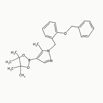 Cc1c(B2OC(C)(C)C(C)(C)O2)cnn1Cc1ccccc1OCc1ccccc1